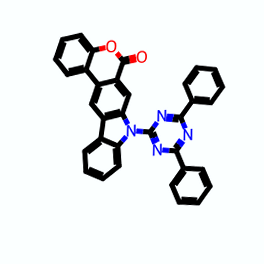 O=c1oc2ccccc2c2cc3c4ccccc4n(-c4nc(-c5ccccc5)nc(-c5ccccc5)n4)c3cc12